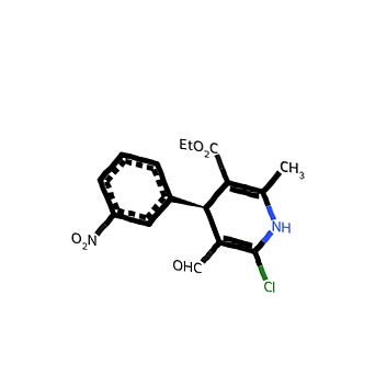 CCOC(=O)C1=C(C)NC(Cl)=C(C=O)[C@H]1c1cccc([N+](=O)[O-])c1